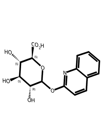 O=C(O)[C@H]1OC(Oc2ccc3ccccc3n2)[C@H](O)[C@@H](O)[C@@H]1O